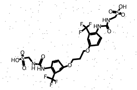 O=C(NCS(=O)(=O)O)Nc1ccc(OCCCOc2ccc(NC(=O)NCS(=O)(=O)O)c(C(F)(F)F)c2)cc1C(F)(F)F